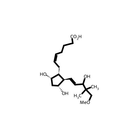 COCC(C)(C)C(O)/C=C/[C@@H]1[C@@H](C/C=C\CCCC(=O)O)[C@@H](O)C[C@H]1O